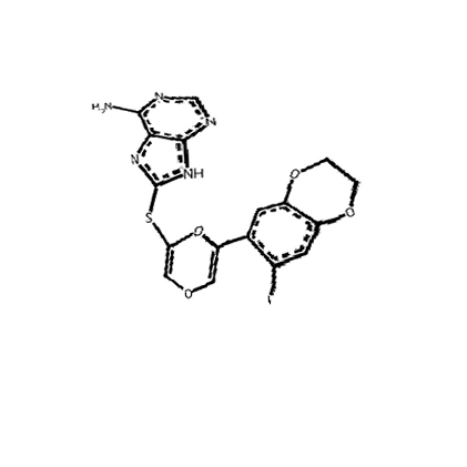 Nc1ncnc2[nH]c(SC3=COC=C(c4cc5c(cc4I)OCCO5)O3)nc12